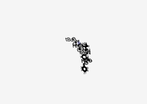 CC(C)(C)OC(=O)/N=C(/NCC1(c2nnc([C@@H]3CC[C@H]4CN3C(=O)N4OCc3ccccc3)o2)CC1)NC(=O)OC(C)(C)C